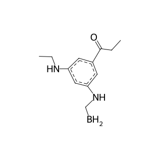 BCNc1cc(NCC)cc(C(=O)CC)c1